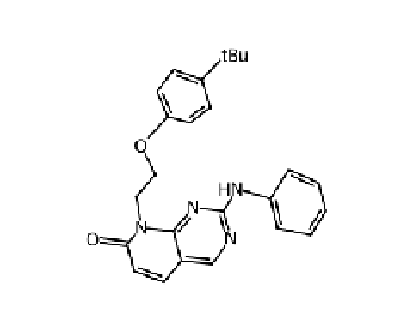 CC(C)(C)c1ccc(OCCn2c(=O)ccc3cnc(Nc4ccccc4)nc32)cc1